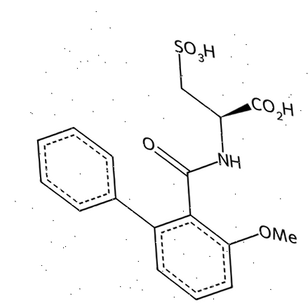 COc1cccc(-c2ccccc2)c1C(=O)N[C@@H](CS(=O)(=O)O)C(=O)O